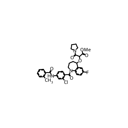 COC(=O)C(OC1CCCN(C(=O)c2ccc(NC(=O)c3ccccc3C)cc2Cl)c2ccc(F)cc21)C(=O)N1CCCC1